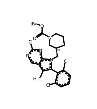 Cc1c(-c2c(Cl)cccc2Cl)n(C[C@@H]2CCCN(C(=O)OC(C)(C)C)C2)c2nc(Cl)ncc12